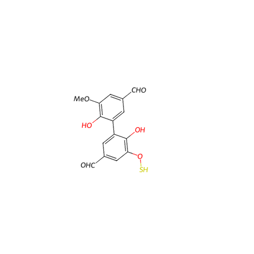 COc1cc(C=O)cc(-c2cc(C=O)cc(OS)c2O)c1O